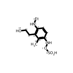 CCNc1ccc(NOS(=O)(=O)O)c(C)c1CCO